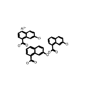 O=C([O-])c1cccc2ccc(Cl)cc12.O=C([O-])c1cccc2ccc(Cl)cc12.O=C([O-])c1cccc2ccc(Cl)cc12.[Al+3]